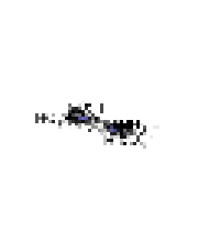 Cc1cc(-c2ccc(N/N=C3\C=Cc4c(S(=O)(=O)O)cc(S(=O)(=O)O)c(N)c4C3=O)c(C)c2)ccc1N/N=C1\C=Cc2c(S(=O)(=O)O)cc(S(=O)(=O)O)c(N)c2C1=O